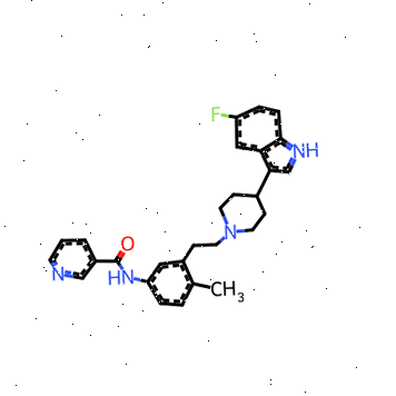 Cc1ccc(NC(=O)c2cccnc2)cc1CCN1CCC(c2c[nH]c3ccc(F)cc23)CC1